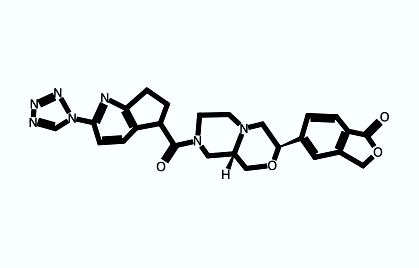 O=C1OCc2cc([C@@H]3CN4CCN(C(=O)C5CCc6nc(-n7cnnn7)ccc65)C[C@H]4CO3)ccc21